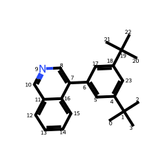 CC(C)(C)c1cc(-c2cncc3ccccc23)cc(C(C)(C)C)c1